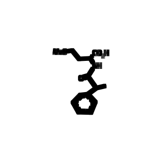 CSCC[C@H](NC(=O)C(C)c1ccccc1)C(=O)O